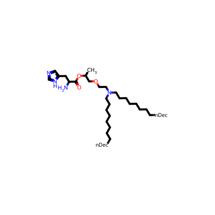 CCCCCCCCCCCCCCCCCCN(CCCCCCCCCCCCCCCCCC)CCOCC(C)OC(=O)C(N)Cc1cnc[nH]1